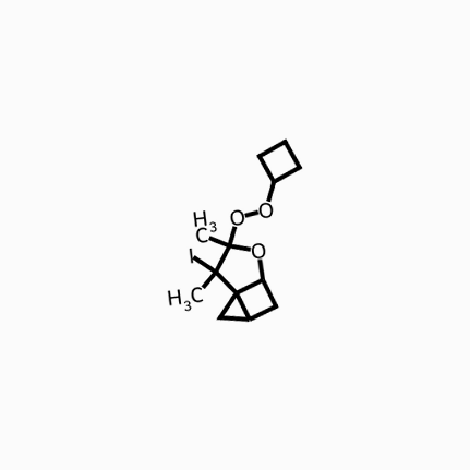 CC1(OOC2CCC2)OC2CC3CC32C1(C)I